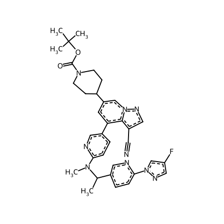 CC(c1ccc(-n2cc(F)cn2)nc1)N(C)c1ccc(-c2cc(C3CCN(C(=O)OC(C)(C)C)CC3)cn3ncc(C#N)c23)cn1